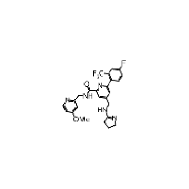 COc1ccnc(CNC(=O)c2cc(CNC3=NCCC3)cc(-c3ccc(F)cc3C(F)(F)F)n2)c1